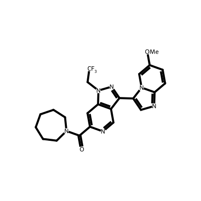 COc1ccc2ncc(-c3nn(CC(F)(F)F)c4cc(C(=O)N5CCCCCC5)ncc34)n2c1